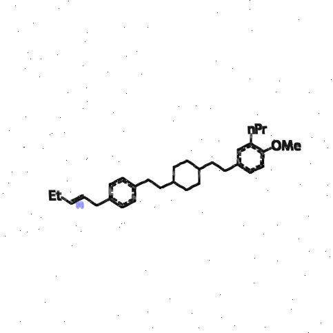 CC/C=C/Cc1ccc(CCC2CCC(CCc3ccc(OC)c(CCC)c3)CC2)cc1